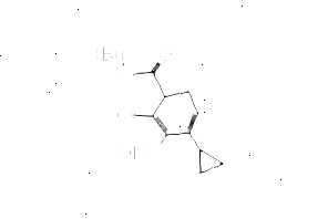 CC(C)(C)OC(=O)C1CC=C(C2CC2)C(C=O)=C1Cl